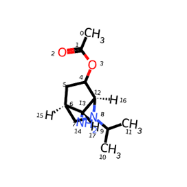 CC(=O)OC1C[C@@H]2CN(C(C)C)[C@H]1[C@@H]2N